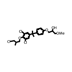 COCC(O)COc1ccc(C(C)(C)c2cc(Cl)c(OCC(C)CCl)c(Cl)c2)cc1